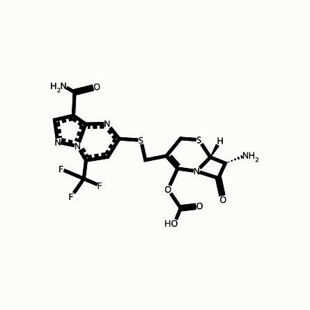 NC(=O)c1cnn2c(C(F)(F)F)cc(SCC3=C(OC(=O)O)N4C(=O)[C@@H](N)[C@H]4SC3)nc12